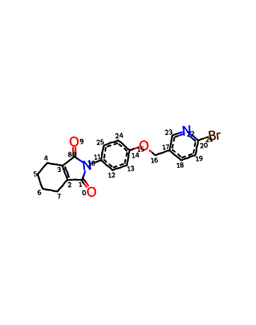 O=C1C2=C(CCCC2)C(=O)N1c1ccc(OCc2ccc(Br)nc2)cc1